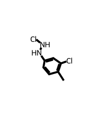 Cc1ccc(NNCl)cc1Cl